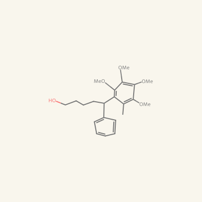 COc1c(C)c(C(CCCCO)c2ccccc2)c(OC)c(OC)c1OC